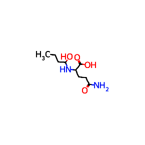 CCCC(O)NC(CCC(N)=O)C(=O)O